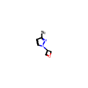 CC(C)(C)c1ccn(C2COC2)n1